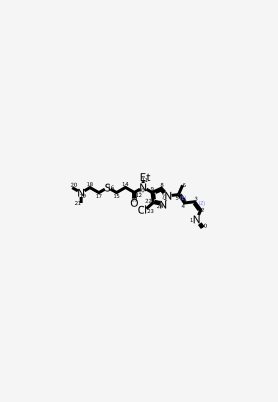 C=N/C=C\C=C(/C)n1cc(N(CC)C(=O)CCSCCN(C)C)c(Cl)n1